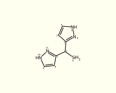 [SiH3]C(c1cc[nH]n1)c1cc[nH]n1